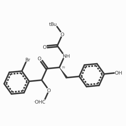 CC(C)(C)OC(=O)N[C@@H](Cc1ccc(O)cc1)C(=O)C(O[C]=O)c1ccccc1Br